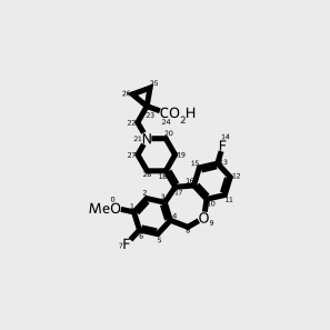 COc1cc2c(cc1F)COc1ccc(F)cc1C2=C1CCN(CC2(C(=O)O)CC2)CC1